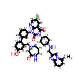 Cc1cccc2nc(CN[C@H]3CC[C@@H](n4c(=O)c5cc(F)cnc5n(-c5cccc(-c6ccc(O)cc6CN6CCCNC(=O)C6)c5)c4=O)CC3)cn12